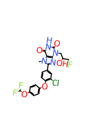 Cn1c(-c2ccc(Oc3ccc(OC(F)F)cc3)c(Cl)c2)nc2c1c(=O)[nH]c(=O)n2CC(O)CF